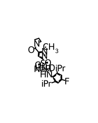 CC(C)c1cc(F)cc(C(C)C)c1NC(=O)NS(=O)(=O)c1cc(C(=O)N2CCC2)n(C)n1.[NaH]